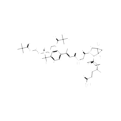 CCCC[C@H](NC(=O)/C=C(\C)c1ccc(C(F)(F)P(=O)(OCOC(=O)C(C)(C)C)OCOC(=O)C(C)(C)C)cc1)C(=O)N1C[C@H]2C[C@H]2[C@H]1C(=O)NC(C)CCC(N)=O